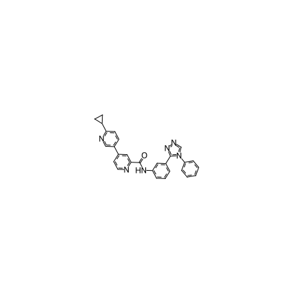 O=C(Nc1cccc(-c2nncn2-c2ccccc2)c1)c1cc(-c2ccc(C3CC3)nc2)ccn1